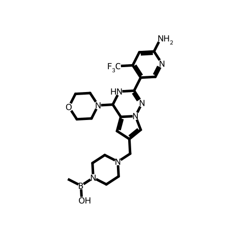 CB(O)N1CCN(Cc2cc3n(c2)N=C(c2cnc(N)cc2C(F)(F)F)NC3N2CCOCC2)CC1